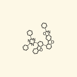 c1ccc(-c2nc(-c3ccccc3)nc(-c3ccc(-c4cccc5oc6cc7nc(-c8ccccc8)oc7cc6c45)c4oc5ccccc5c34)n2)cc1